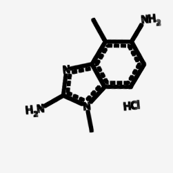 Cc1c(N)ccc2c1nc(N)n2C.Cl